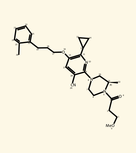 COCCC(=O)N1CCN(c2nc(C3CC3)c(OCCCc3ccccc3C)cc2C#N)C[C@H]1C